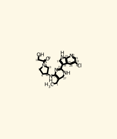 CCC1=C(N[C@H]2CCN(C(=O)CO)C2)N=C(c2c[nH]c3ncc(Cl)cc23)NC1